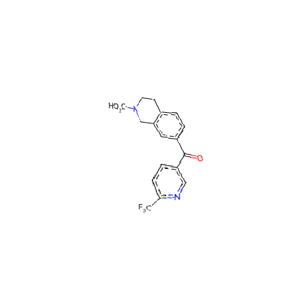 O=C(c1ccc(C(F)(F)F)nc1)c1ccc2c(c1)CN(C(=O)O)CC2